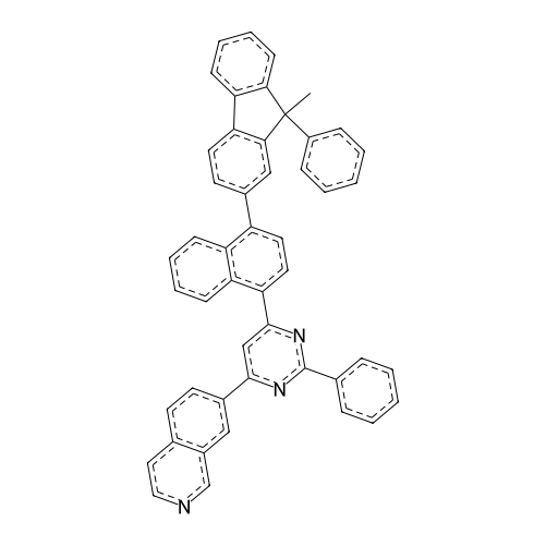 CC1(c2ccccc2)c2ccccc2-c2ccc(-c3ccc(-c4cc(-c5ccc6ccncc6c5)nc(-c5ccccc5)n4)c4ccccc34)cc21